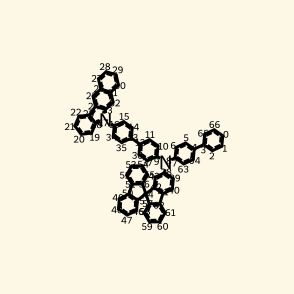 c1ccc(-c2ccc(N(c3ccc(-c4ccc(-n5c6ccccc6c6cc7ccccc7cc65)cc4)cc3)c3ccc4c(c3)C3(c5ccccc5-c5ccccc53)c3ccccc3-4)cc2)cc1